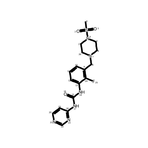 CS(=O)(=O)N1CCN(Cc2cccc(NC(=O)Nc3ccncn3)c2F)CC1